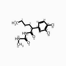 CCCCC(C(=O)NC(=O)NC)c1ccc(Cl)c(Cl)c1